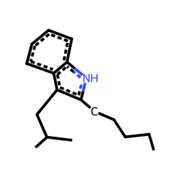 CCCCCc1[nH]c2ccccc2c1CC(C)C